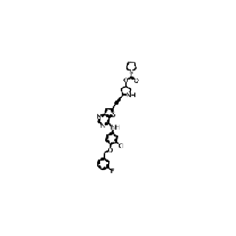 O=C(OC1CNC(C#Cc2cc3ncnc(Nc4ccc(OCc5cccc(F)c5)c(Cl)c4)c3s2)C1)N1CCCC1